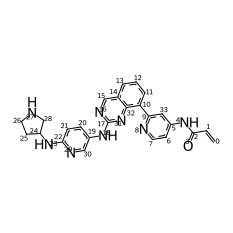 C=CC(=O)Nc1ccnc(-c2cccc3cnc(Nc4ccc(NC5CCNC5)nc4)nc23)c1